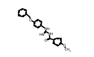 COc1ccc(C(=O)NC(=N)Nc2ccc(OCc3ccccc3)cc2)cc1